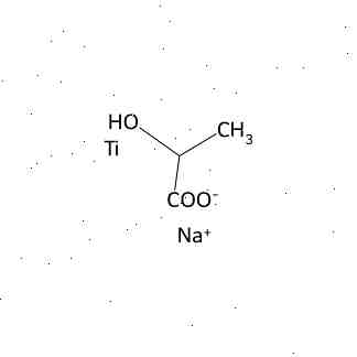 CC(O)C(=O)[O-].[Na+].[Ti]